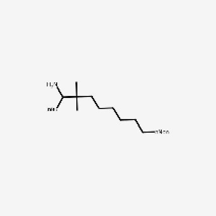 CCCCCCCCCCCCCCCC(C)(C)C(N)CCCC